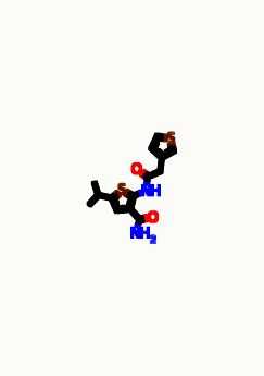 CC(C)c1cc(C(N)=O)c(NC(=O)Cc2ccsc2)s1